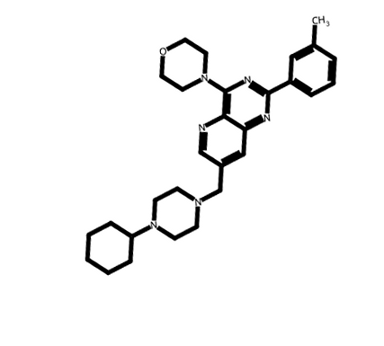 Cc1cccc(-c2nc(N3CCOCC3)c3ncc(CN4CCN(C5CCCCC5)CC4)cc3n2)c1